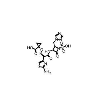 Nc1nc(C(=NOC2(C(=O)O)CC2)C(=O)N[C@@H]2C(=O)N(S(=O)(=O)O)[C@@H]2Cn2cncn2)cs1